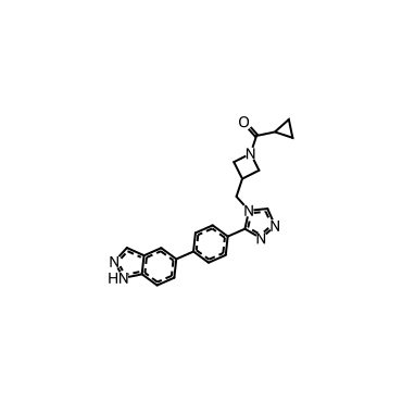 O=C(C1CC1)N1CC(Cn2cnnc2-c2ccc(-c3ccc4[nH]ncc4c3)cc2)C1